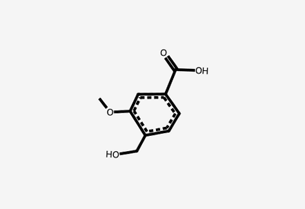 COc1cc(C(=O)O)ccc1CO